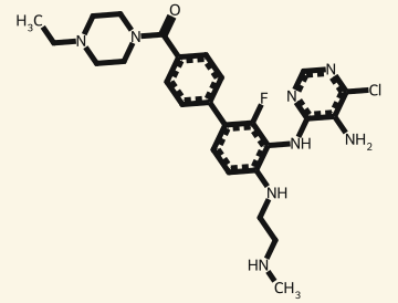 CCN1CCN(C(=O)c2ccc(-c3ccc(NCCNC)c(Nc4ncnc(Cl)c4N)c3F)cc2)CC1